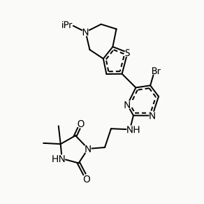 CC(C)N1CCc2sc(-c3nc(NCCN4C(=O)NC(C)(C)C4=O)ncc3Br)cc2C1